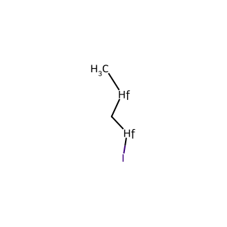 [CH3][Hf][CH2][Hf][I]